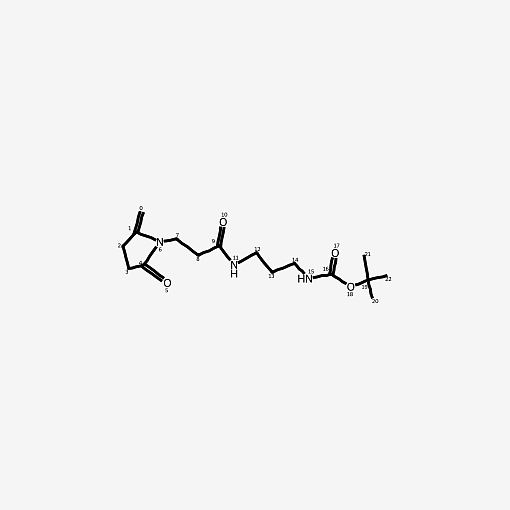 C=C1CCC(=O)N1CCC(=O)NCCCNC(=O)OC(C)(C)C